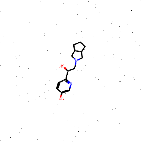 Oc1ccc(C(O)CN2CC3CCCC3C2)nc1